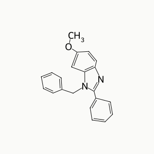 COc1ccc2nc(-c3ccccc3)n(Cc3ccccc3)c2c1